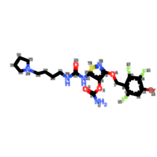 NC(=O)Oc1c(OCc2c(F)cc(Br)c(F)c2F)nsc1NC(=O)NCCCCN1CCCC1